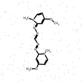 COC1=CC(/N=N/C=N/N=c2\cc(OC)ccn2C)N(C)C=C1